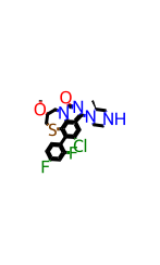 COC1CSc2c(-c3ccc(F)cc3F)c(Cl)cc3c(N4CCNC[C@@H]4C)nc(=O)n(c23)C1